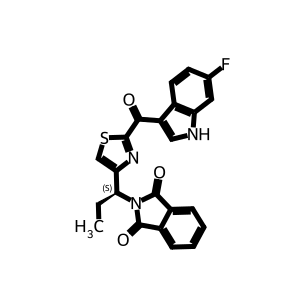 CC[C@@H](c1csc(C(=O)c2c[nH]c3cc(F)ccc23)n1)N1C(=O)c2ccccc2C1=O